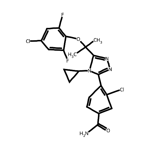 CC(C)(Oc1c(F)cc(Cl)cc1F)c1nnc(-c2ccc(C(N)=O)cc2Cl)n1C1CC1